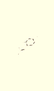 Oc1cc(Br)ccc1C=C(Cl)Cl